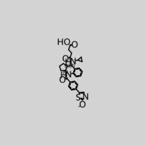 COc1ncc(-c2ccc(C(=O)N3c4ccccc4[C@H](N(C(=O)CCC(=O)O)C4CC4)[C@H]4CCC[C@H]43)cc2)s1